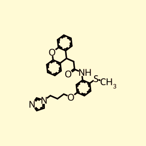 CSc1ccc(OCCCn2ccnc2)cc1NC(=O)CC1c2ccccc2Oc2ccccc21